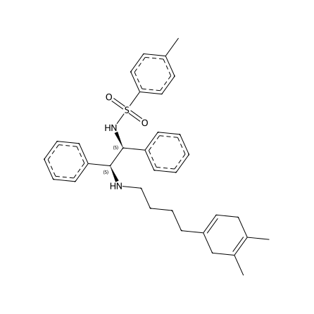 CC1=C(C)CC(CCCCN[C@@H](c2ccccc2)[C@@H](NS(=O)(=O)c2ccc(C)cc2)c2ccccc2)=CC1